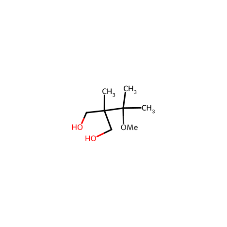 COC(C)(C)C(C)(CO)CO